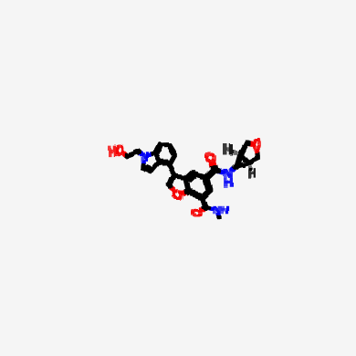 CNC(=O)c1cc(C(=O)NC2[C@H]3COC[C@@H]23)cc2c1OCC2c1cccc2c1ccn2CCO